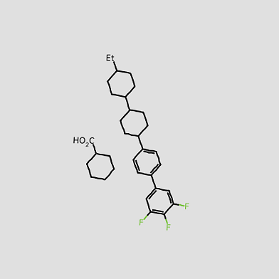 CCC1CCC(C2CCC(c3ccc(-c4cc(F)c(F)c(F)c4)cc3)CC2)CC1.O=C(O)C1CCCCC1